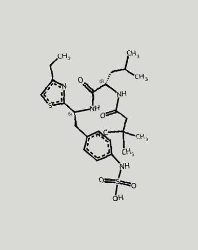 CCc1csc([C@H](Cc2ccc(NS(=O)(=O)O)cc2)NC(=O)[C@H](CC(C)C)NC(=O)CC(C)(C)C)n1